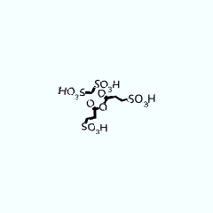 O=C(CCS(=O)(=O)O)OC(=O)CCS(=O)(=O)O.O=S(=O)(O)CS(=O)(=O)O